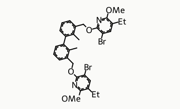 CCc1cc(Br)c(OCc2cccc(-c3cccc(COc4nc(OC)c(CC)cc4Br)c3C)c2C)nc1OC